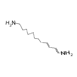 N/C=C/C=C/CCCCCCCCN